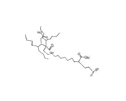 CCCCC(CCCC)C(CC(=O)O)C(CCCCCCCCCCC(CCC(=O)O)C(=O)O)(C(=O)O)C(CCCC)CCCC